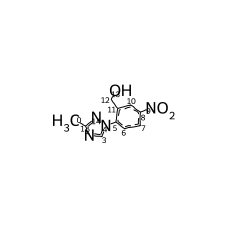 Cc1ncn(-c2ccc([N+](=O)[O-])cc2CO)n1